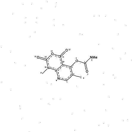 CNC(=O)Oc1c(I)cnc2c1c(=O)oc(=O)n2C